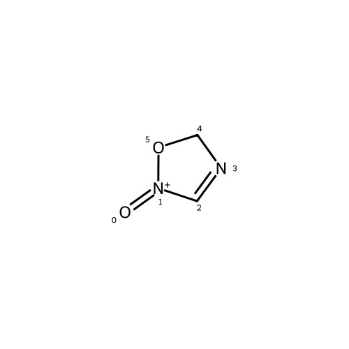 O=[N+]1C=NCO1